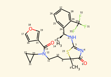 C[C@H](NC1=NC(=O)C(C)(CCCN(C(=O)c2ccoc2)C2CC2)S1)c1ccccc1C(F)(F)F